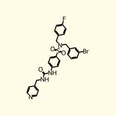 O=C(NCc1ccncc1)Nc1ccc(S(=O)(=O)N(Cc2ccc(F)cc2)Cc2cccc(Br)c2)cc1